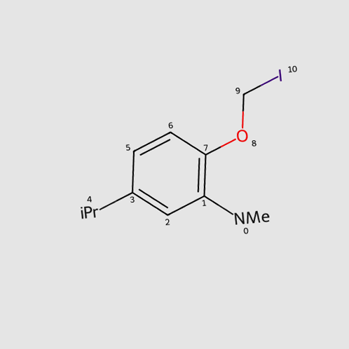 CNc1cc(C(C)C)ccc1OCI